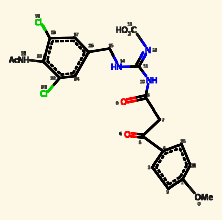 COc1ccc(C(=O)CC(=O)NC(=NC(=O)O)NCc2cc(Cl)c(NC(C)=O)c(Cl)c2)cc1